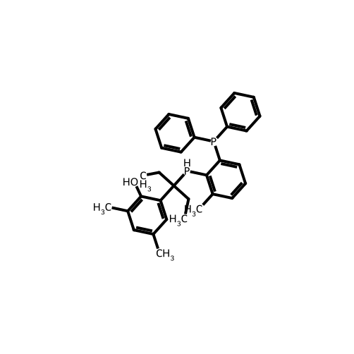 CCC(CC)(Pc1c(C)cccc1P(c1ccccc1)c1ccccc1)c1cc(C)cc(C)c1O